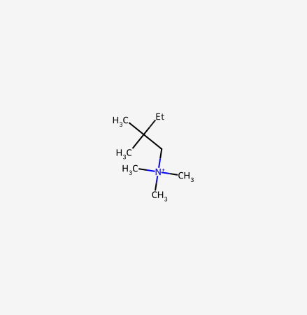 CCC(C)(C)C[N+](C)(C)C